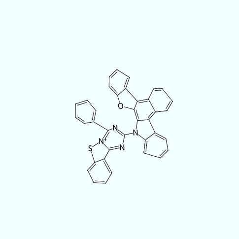 c1ccc(-c2nc(-n3c4ccccc4c4c5ccccc5c5c6ccccc6oc5c43)nc3c4ccccc4s[n+]23)cc1